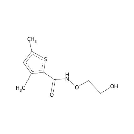 Cc1cc(C)c(C(=O)NOCCO)s1